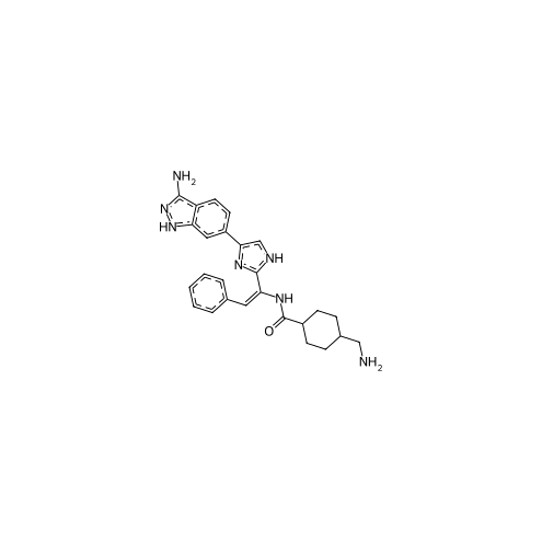 NCC1CCC(C(=O)NC(=Cc2ccccc2)c2nc(-c3ccc4c(N)n[nH]c4c3)c[nH]2)CC1